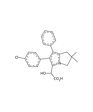 CC1(C)Cc2c(-c3ccccc3)c(-c3ccc(Cl)cc3)c(C(O)C(=O)O)n2C1